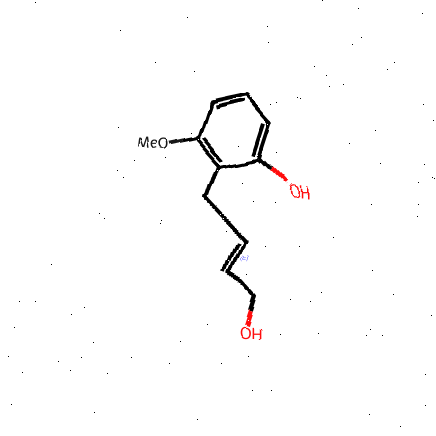 COc1cccc(O)c1C/C=C/CO